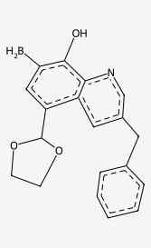 Bc1cc(C2OCCO2)c2cc(Cc3ccccc3)cnc2c1O